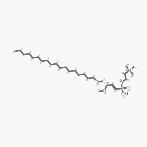 CCCCCCCCCCCCCCCCCCOC[C@H](/C=C/P(=O)(O)OCC[N+](C)(C)C)OC